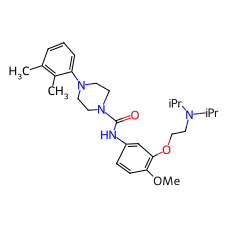 COc1ccc(NC(=O)N2CCN(c3cccc(C)c3C)CC2)cc1OCCN(C(C)C)C(C)C